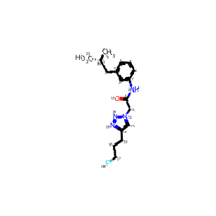 C[C@H](Cc1cccc(NC(=O)Cn2cc(CCCF)nn2)c1)C(=O)O